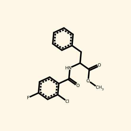 COC(=O)C(Cc1ccccc1)NC(=O)c1ccc(F)cc1Cl